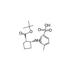 CC(C)(C)OC(=O)[C@@H]1CCC[C@@H]1N.Cc1ccc(S(=O)(=O)O)cc1